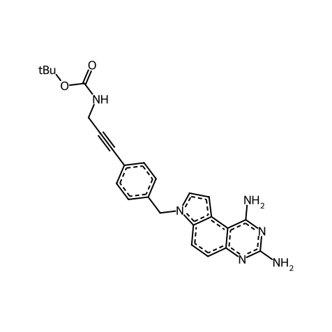 CC(C)(C)OC(=O)NCC#Cc1ccc(Cn2ccc3c4c(N)nc(N)nc4ccc32)cc1